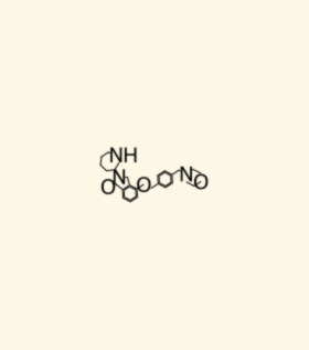 O=C1c2cccc(OCc3ccc(CN4CCOCC4)cc3)c2CN1C1CCCCNC1